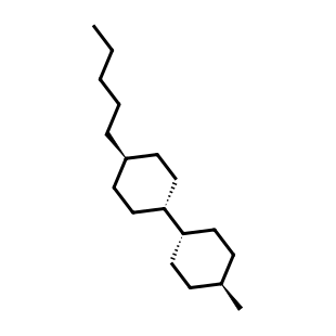 CCCCC[C@H]1CC[C@H]([C@H]2CC[C@H](C)CC2)CC1